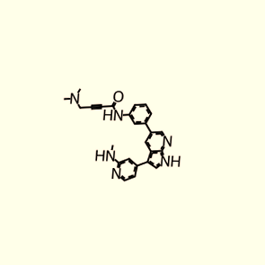 CNc1cc(-c2c[nH]c3ncc(-c4cccc(NC(=O)C#CCN(C)C)c4)cc23)ccn1